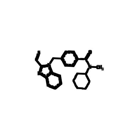 CN(C(=O)c1ccc(Cn2c(C=S)nc3ccccc32)cc1)C1CCCCC1